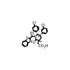 CC[C@@H](c1nc2ccccc2s1)N1C(=O)[C@@](C)(CC(=O)O)C[C@H](c2cccc(Cl)c2)[C@H]1c1c#cc(Cl)cc1